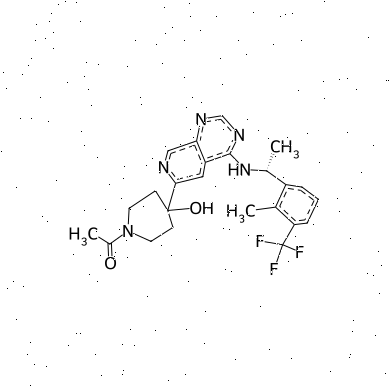 CC(=O)N1CCC(O)(c2cc3c(N[C@H](C)c4cccc(C(F)(F)F)c4C)ncnc3cn2)CC1